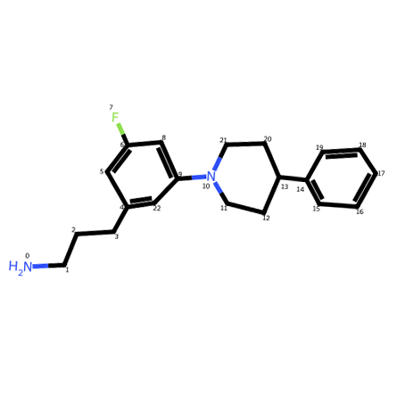 NCCCc1cc(F)cc(N2CCC(c3ccccc3)CC2)c1